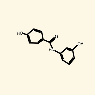 O=C(Nc1cccc(O)c1)c1ccc(O)cc1